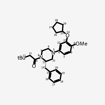 COc1ccc(N2CCN(C(=O)CC(C)(C)C)[C@@H](Cc3ccccc3)C2)cc1OC1CCCC1